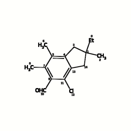 CCC1(C)Cc2c(C)c(C)c(C=O)c(Cl)c2C1